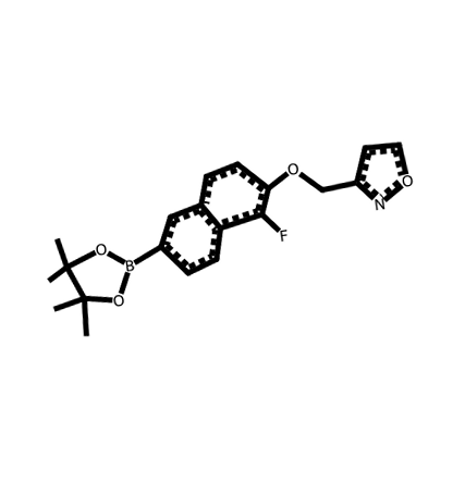 CC1(C)OB(c2ccc3c(F)c(OCc4ccon4)ccc3c2)OC1(C)C